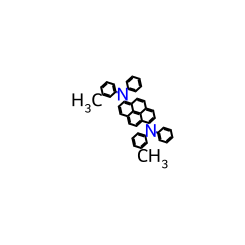 Cc1cccc(N(c2ccccc2)c2ccc3ccc4c(N(c5ccccc5)c5cccc(C)c5)ccc5ccc2c3c54)c1